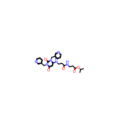 CC(C)OC(=O)CCNC(=O)CCNc1cc(=O)n(Cc2cccnc2)c(=O)n1Cc1cccnc1